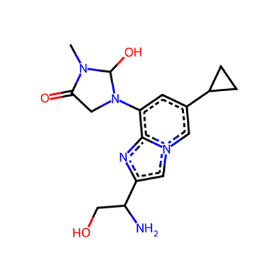 CN1C(=O)CN(c2cc(C3CC3)cn3cc(C(N)CO)nc23)C1O